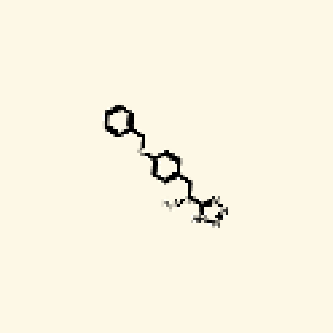 N[C@@H](Cc1ccc(OCc2ccccc2)cc1)c1nnn[nH]1